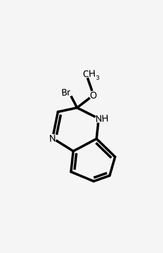 COC1(Br)C=Nc2ccccc2N1